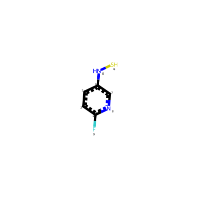 Fc1ccc(NS)cn1